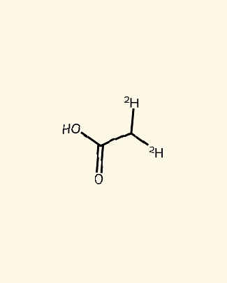 [2H]C([2H])C(=O)O